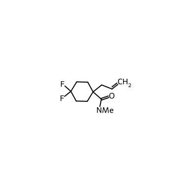 C=CCC1(C(=O)NC)CCC(F)(F)CC1